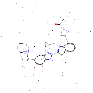 COc1cc(C(=O)N2C[C@H]3CC[C@@H]2[C@@H]3N)cc2nc(-c3cc4cccc(C5CN(C(=O)C(C)(C)O)C5)c4n3CC3CC3)n(C)c12